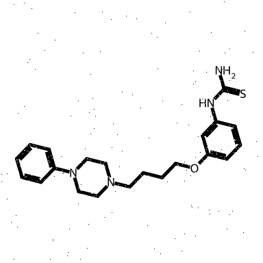 NC(=S)Nc1cccc(OCCCCN2CCN(c3ccccc3)CC2)c1